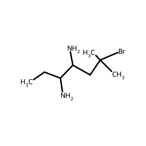 CCC(N)C(N)CC(C)(C)Br